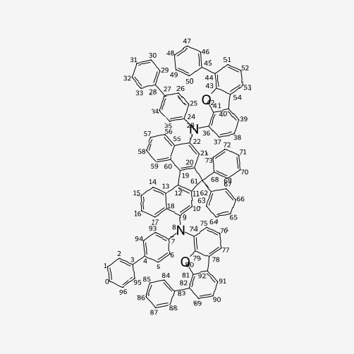 c1ccc(-c2ccc(N(c3cc4c(c5ccccc35)-c3c(cc(N(c5ccc(-c6ccccc6)cc5)c5cccc6c5oc5c(-c7ccccc7)cccc56)c5ccccc35)C4(c3ccccc3)c3ccccc3)c3cccc4c3oc3c(-c5ccccc5)cccc34)cc2)cc1